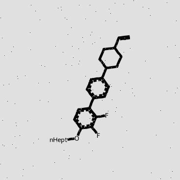 C=CC1CCC(c2ccc(-c3ccc(OCCCCCCC)c(F)c3F)cc2)CC1